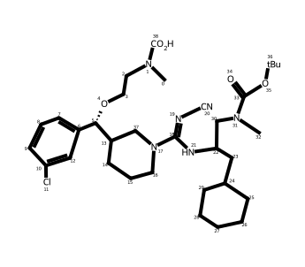 CN(CCO[C@@H](c1cccc(Cl)c1)C1CCCN(C(=NC#N)NC(CC2CCCCC2)CN(C)C(=O)OC(C)(C)C)C1)C(=O)O